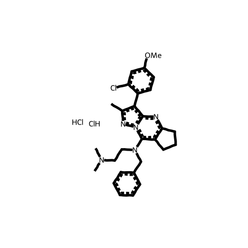 COc1ccc(-c2c(C)nn3c(N(CCN(C)C)Cc4ccccc4)c4c(nc23)CCC4)c(Cl)c1.Cl.Cl